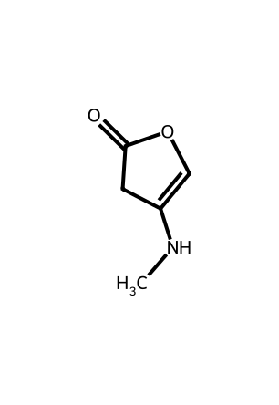 CNC1=COC(=O)C1